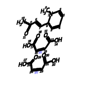 CN1C=CC=CC1C=CC(N)=O.O=C(O)/C=C\C(=O)O.O=C(O)/C=C\C(=O)O